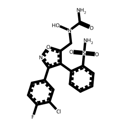 NC(=O)N(O)Cc1onc(-c2ccc(F)c(Cl)c2)c1-c1ccccc1S(N)(=O)=O